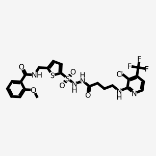 COc1ccccc1C(=O)NCc1ccc(S(=O)(=O)NNC(=O)CCCNc2nccc(C(F)(F)F)c2Cl)s1